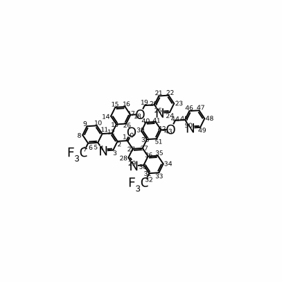 O=C(c1cnc2c(C(F)(F)F)cccc2c1-c1cccc(OCc2ccccn2)c1)c1cnc2c(C(F)(F)F)cccc2c1-c1cccc(OCc2ccccn2)c1